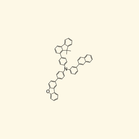 CC1(C)c2ccccc2-c2cccc(-c3ccc(N(c4ccc(-c5ccc6oc7ccccc7c6c5)cc4)c4cccc(-c5ccc6ccccc6c5)c4)cc3)c21